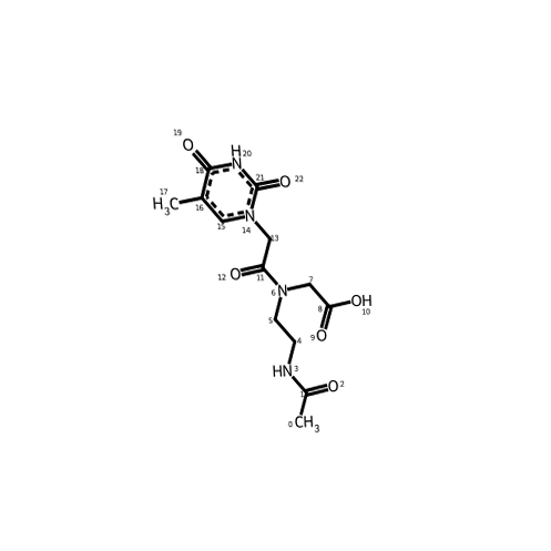 CC(=O)NCCN(CC(=O)O)C(=O)Cn1cc(C)c(=O)[nH]c1=O